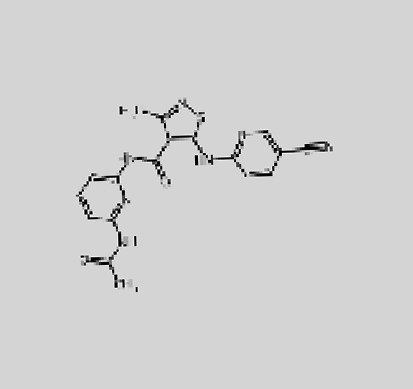 CC(=O)Nc1cccc(NC(=O)c2c(C)nsc2Nc2ccc(C#N)cn2)n1